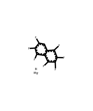 Fc1cc2c(F)c(F)c(F)c(F)c2c(F)c1F.[B].[Mg]